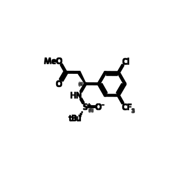 COC(=O)C[C@H](N[S@+]([O-])C(C)(C)C)c1cc(Cl)cc(C(F)(F)F)c1